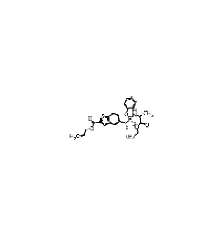 C=CCOC(=O)c1cc2cc(C(F)P(=O)(NC(C)C(=O)OCC(C)(C)C)Oc3ccccc3)ccc2s1